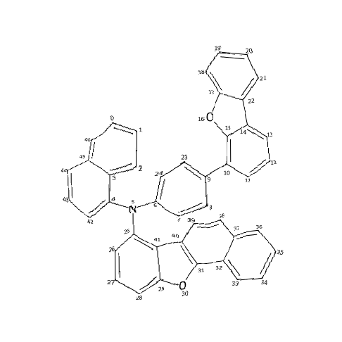 c1ccc2c(N(c3ccc(-c4cccc5c4oc4ccccc45)cc3)c3cccc4oc5c6ccccc6ccc5c34)cccc2c1